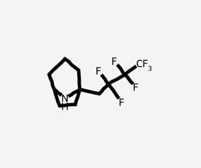 FC(F)(F)C(F)(F)C(F)(F)CC12CCCC(CC1)N2